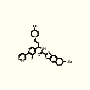 CC(C)(C)C1CCc2nc3sc(C(=O)N[C@H](CCN4CCC(O)CC4)c4cnc(-c5ccnnc5)c(F)c4)nc3cc2C1